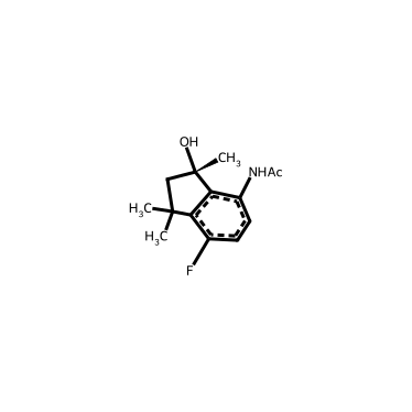 CC(=O)Nc1ccc(F)c2c1[C@@](C)(O)CC2(C)C